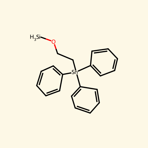 [SiH3]OC[CH2][Sn]([c]1ccccc1)([c]1ccccc1)[c]1ccccc1